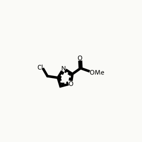 COC(=O)c1nc(CCl)co1